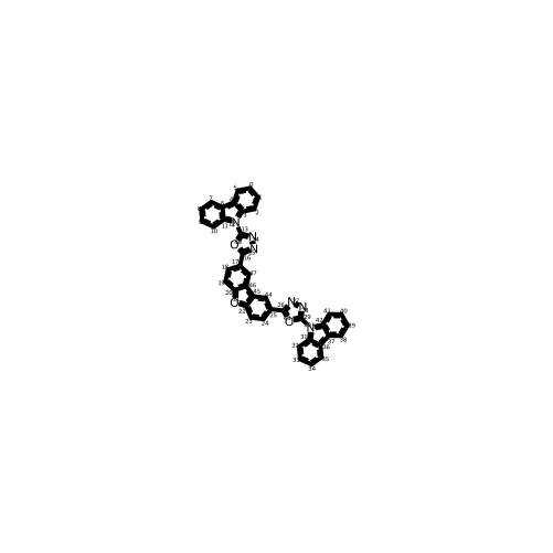 c1ccc2c(c1)c1ccccc1n2-c1nnc(-c2ccc3oc4ccc(-c5nnc(-n6c7ccccc7c7ccccc76)o5)cc4c3c2)o1